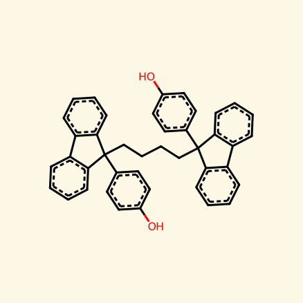 Oc1ccc(C2(CCCCC3(c4ccc(O)cc4)c4ccccc4-c4ccccc43)c3ccccc3-c3ccccc32)cc1